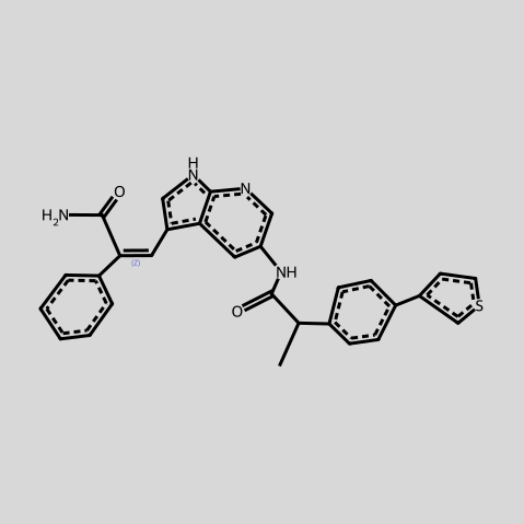 CC(C(=O)Nc1cnc2[nH]cc(/C=C(\C(N)=O)c3ccccc3)c2c1)c1ccc(-c2ccsc2)cc1